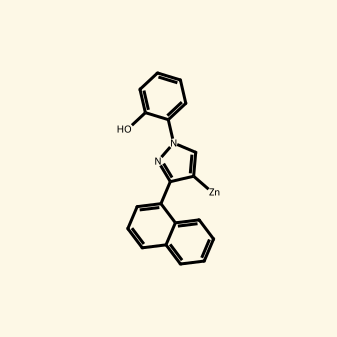 Oc1ccccc1-n1c[c]([Zn])c(-c2cccc3ccccc23)n1